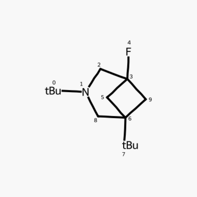 CC(C)(C)N1CC2(F)CC(C(C)(C)C)(C1)C2